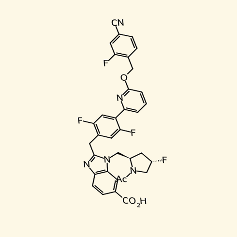 CC(=O)N1C[C@@H](F)C[C@@H]1Cn1c(Cc2cc(F)c(-c3cccc(OCc4ccc(C#N)cc4F)n3)cc2F)nc2ccc(C(=O)O)cc21